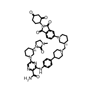 CN1CCN([C@@H]2CCCN(c3cnc(C(N)=O)c(Nc4ccc(C5CCN(C[C@@H]6CCCN(c7ccc8c(c7)C(=O)N(C7CCC(=O)CC7=O)C8=O)C6)CC5)cc4)n3)C2)C1=O